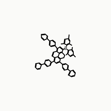 Cc1cc(C)c(B(c2cc(-c3ccc(-c4ccccc4)cc3)c3ccc4c(-c5ccc(-c6ccccc6)cc5)cc(-c5ccc(-c6ccccc6)cc5)c5c4c3c2CC5)c2c(C)cc(C)cc2C)c(C)c1